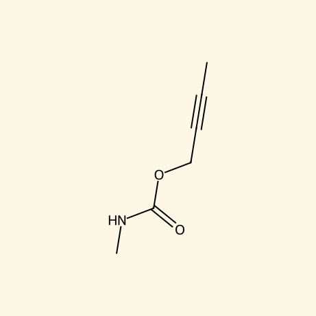 CC#CCOC(=O)NC